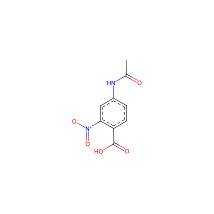 CC(=O)Nc1ccc(C(=O)O)c([N+](=O)[O-])c1